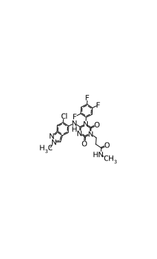 CNC(=O)CCn1c(=O)nc(Nc2cc3cn(C)nc3cc2Cl)n(-c2cc(F)c(F)cc2F)c1=O